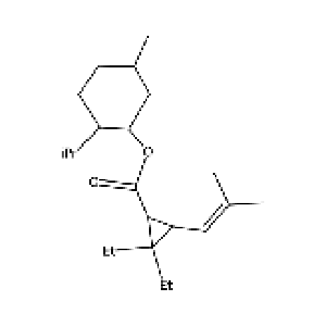 CCC1(CC)C(C=C(C)C)C1C(=O)OC1CC(C)CCC1C(C)C